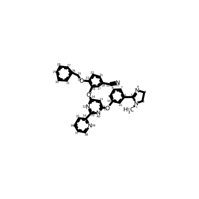 CN1CCN=C1c1cccc(Oc2cc(Oc3cc(C#N)ccc3OCc3ccccc3)nc(-c3ccccn3)n2)c1